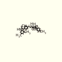 CCC1Nc2cc(C)cc(C)c2N1c1ccc(CCNC(=O)NS(=O)(=O)c2ccc(C)cc2)cc1